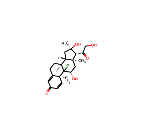 C[C@]12C[C@H](O)C3(F)[C@@H](CCC4=CC(=O)C=C[C@@]43C)[C@@H]1C[C@@](C)(O)[C@@H]2C(=O)CO